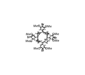 COc1cc(-c2c3nc(c(-c4cc(OC)c(Br)c(OC)c4)c4ccc([nH]4)c(-c4cc(OC)c(Br)c(OC)c4)c4nc(c(-c5cc(OC)c(Br)c(OC)c5)c5ccc2[nH]5)C=C4)C=C3)cc(OC)c1Br